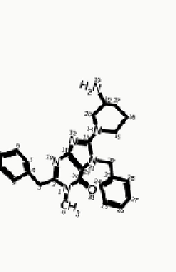 Cn1c(Cc2ccccc2)nc2nc(N3CCCC(N)C3)n(Cc3ccccc3)c2c1=O